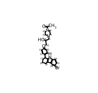 CC(=O)N1CCN(CC(O)COc2ccc(C3CCCc4c3[nH]c3ccc(Br)cc43)cc2)CC1